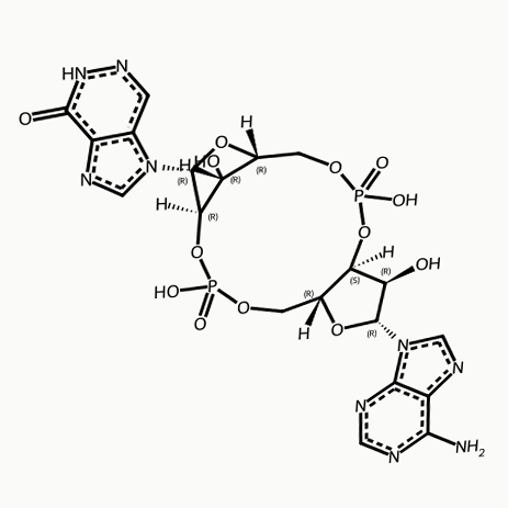 Nc1ncnc2c1ncn2[C@@H]1O[C@@H]2COP(=O)(O)O[C@@H]3[C@H](O)[C@@H](COP(=O)(O)O[C@H]2[C@H]1O)O[C@H]3n1cnc2c(=O)[nH]ncc21